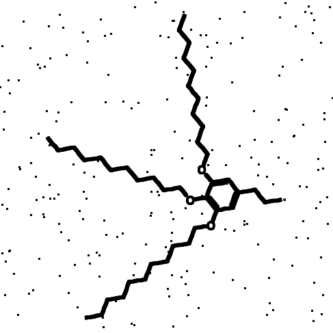 [CH2]CCc1cc(OCCCCCCCCCCC)c(OCCCCCCCCCCC)c(OCCCCCCCCCCC)c1